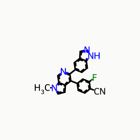 Cn1ccc2c(-c3ccc(C#N)c(F)c3)c(-c3ccc4[nH]ncc4c3)ncc21